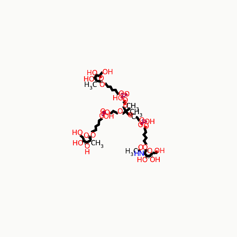 CC(=O)NC1[C@H](OCCCCCCOP(=O)(O)OCCCOCC(COCCCOP(=O)(O)OCCCCCCO[C@@H]2OC(CO)[C@H](O)[C@H](O)C2C)(COCOP(=O)(O)OCCCCCCO[C@@H]2OC(CO)[C@H](O)[C@H](O)C2C)C(C)C)OC(CO)[C@H](O)[C@@H]1O